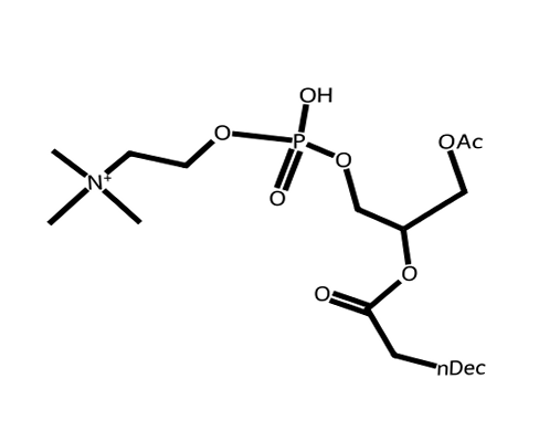 CCCCCCCCCCCC(=O)OC(COC(C)=O)COP(=O)(O)OCC[N+](C)(C)C